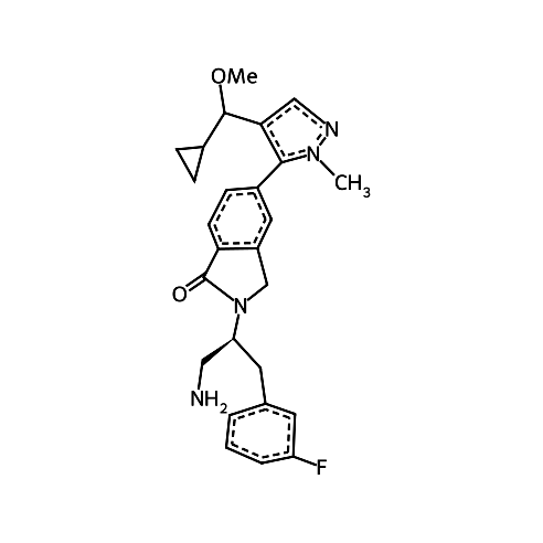 COC(c1cnn(C)c1-c1ccc2c(c1)CN([C@H](CN)Cc1cccc(F)c1)C2=O)C1CC1